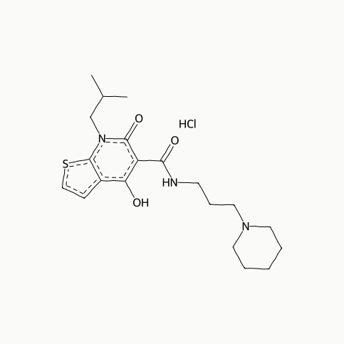 CC(C)Cn1c(=O)c(C(=O)NCCCN2CCCCC2)c(O)c2ccsc21.Cl